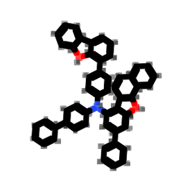 c1ccc(-c2ccc(N(c3ccc(-c4cccc5c4oc4ccccc45)cc3)c3cc(-c4ccccc4)cc4oc5c6ccccc6ccc5c34)cc2)cc1